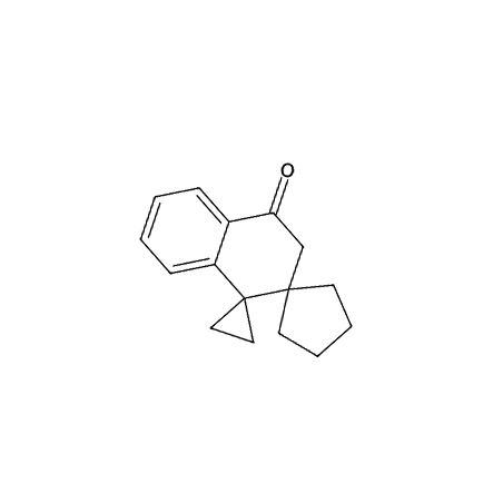 O=C1CC2(CCCC2)C2(CC2)c2ccccc21